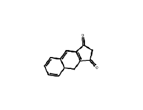 O=C1CC(=O)C2=C1C=C1C=CC=CC1C2